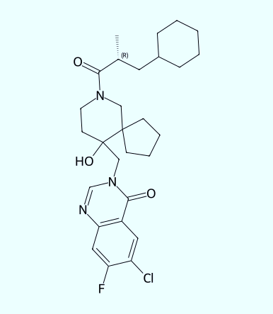 C[C@H](CC1CCCCC1)C(=O)N1CCC(O)(Cn2cnc3cc(F)c(Cl)cc3c2=O)C2(CCCC2)C1